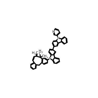 C=C1/C=C\c2ccccc2Cc2ccc(-n3c4ccccc4c4cc(-c5ccc6c(c5)c5ccccc5n6-c5cccnc5)ccc43)cc2C1(C)C